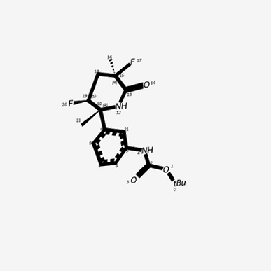 CC(C)(C)OC(=O)Nc1cccc([C@@]2(C)NC(=O)[C@](C)(F)C[C@@H]2F)c1